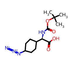 CC(C)(C)OC(=O)N[C@@H](C(=O)O)C1CCC(N=[N+]=[N-])CC1